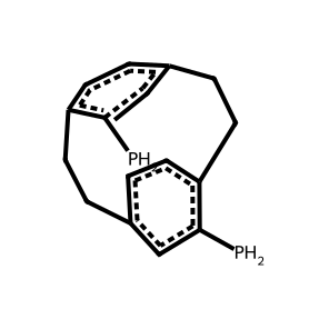 Pc1cc2ccc1CCc1ccc(c(P)c1)CC2